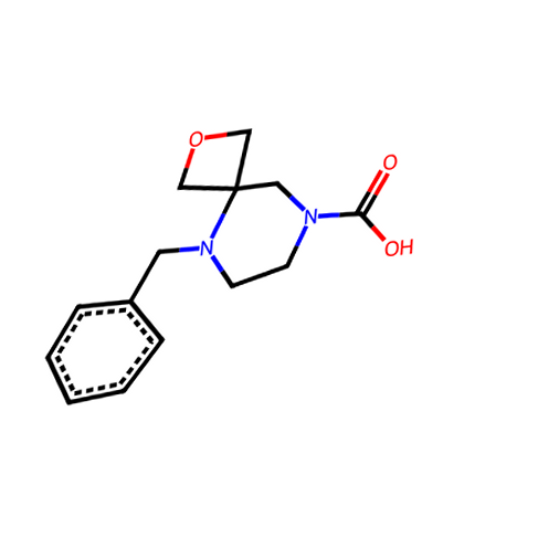 O=C(O)N1CCN(Cc2ccccc2)C2(COC2)C1